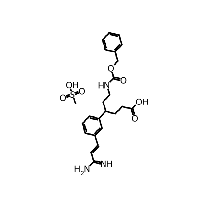 CS(=O)(=O)O.N=C(N)C=Cc1cccc(C(CCNC(=O)OCc2ccccc2)CCC(=O)O)c1